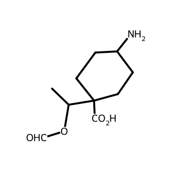 CC(OC=O)C1(C(=O)O)CCC(N)CC1